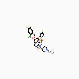 CN1CCC(C(=O)N2CC[C@@]3(S(=O)(=O)c4ccc(F)cc4)c4ccc(OCc5cc(F)c(F)cc5Cl)cc4CC[C@@H]23)CC1